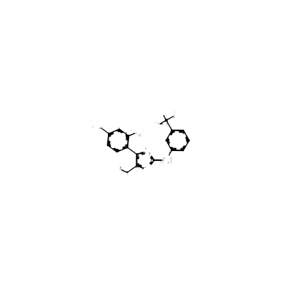 OCc1sc(Nc2cccc(C(F)(F)F)c2)nc1-c1ccc(Cl)cc1Cl